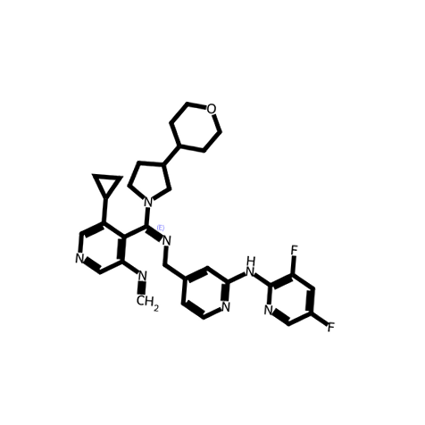 C=Nc1cncc(C2CC2)c1/C(=N\Cc1ccnc(Nc2ncc(F)cc2F)c1)N1CCC(C2CCOCC2)C1